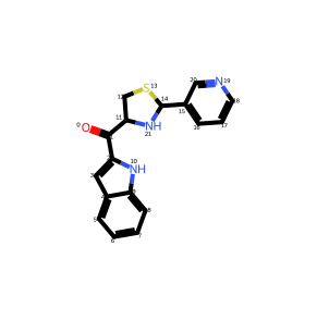 O=C(c1cc2ccccc2[nH]1)C1CSC(c2cccnc2)N1